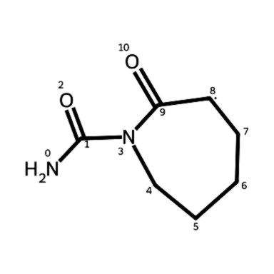 NC(=O)N1CCCC[CH]C1=O